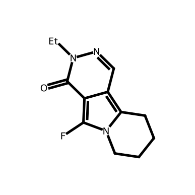 CCn1ncc2c3n(c(F)c2c1=O)CCCC3